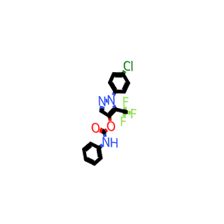 O=C(Nc1ccccc1)Oc1cnn(-c2ccc(Cl)cc2)c1C(F)(F)F